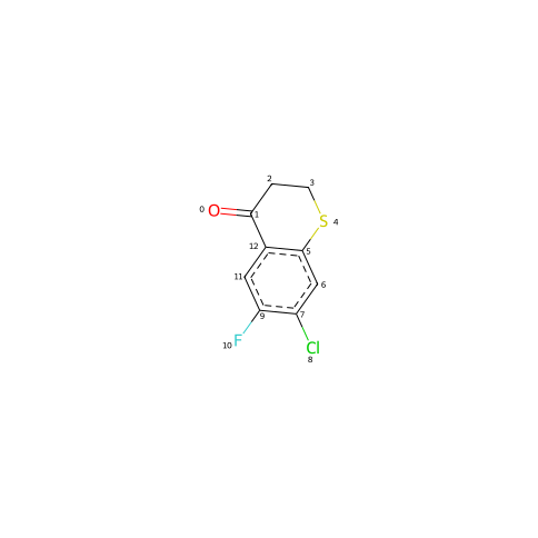 O=C1CCSc2cc(Cl)c(F)cc21